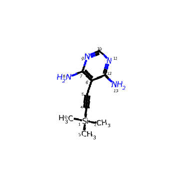 C[Si](C)(C)C#Cc1c(N)ncnc1N